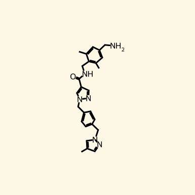 Cc1cnn(Cc2ccc(Cn3cc(C(=O)NCc4c(C)cc(CN)cc4C)cn3)cc2)c1